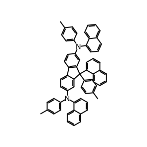 Cc1ccc(N(c2ccc3c(c2)C(c2ccc(C)cc2)(c2cccc4ccccc24)c2cc(N(c4ccc(C)cc4)c4cccc5ccccc45)ccc2-3)c2cccc3ccccc23)cc1